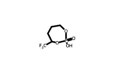 O=P1(O)OCCCC(C(F)(F)F)O1